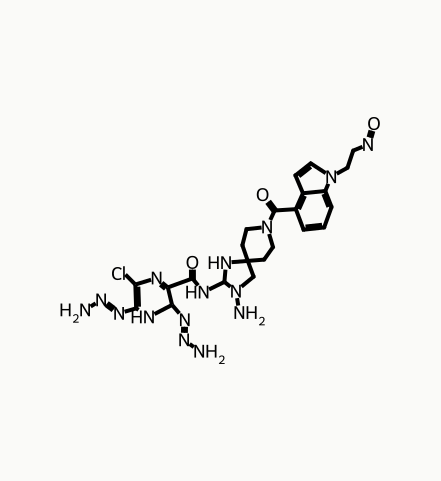 NN=NC1=C(Cl)N=C(C(=O)NC2NC3(CCN(C(=O)c4cccc5c4ccn5CCN=O)CC3)CN2N)C(N=NN)N1